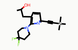 CC(O)Cc1ccc(C#C[Si](C)(C)C)nc1N1CCC(F)(F)CC1